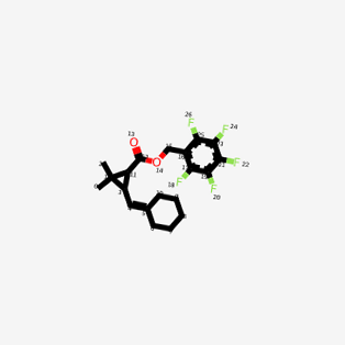 CC1(C)C(C=C2CCCCC2)C1C(=O)OCc1c(F)c(F)c(F)c(F)c1F